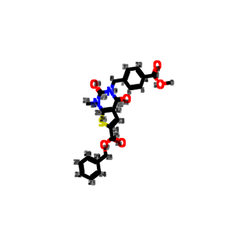 COC(=O)c1ccc(Cn2c(=O)c3cc(C(=O)OCc4ccccc4)sc3n(C)c2=O)cc1